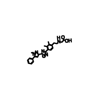 Cc1c(CCNCC(=O)O)ccc(-c2noc(-c3cc(-c4ccccc4)n(C)n3)n2)c1C